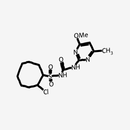 COc1cc(C)nc(NC(=O)NS(=O)(=O)C2CCCCCCC2Cl)n1